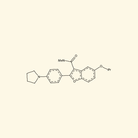 CNC(=O)c1c(-c2ccc(N3CCCC3)cc2)oc2ccc(OC(C)C)cc12